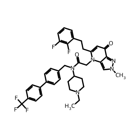 CCN1CCC(N(Cc2ccc(-c3ccc(C(F)(F)F)cc3)cc2)C(=O)Cn2c(CCc3cccc(F)c3F)cc(=O)c3nn(C)cc32)CC1